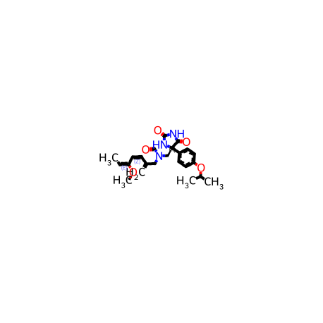 C=C(/C=C\C(=C/C)OC)CN(C=O)C[C@@]1(c2ccc(OC(C)C)cc2)NC(=O)NC1=O